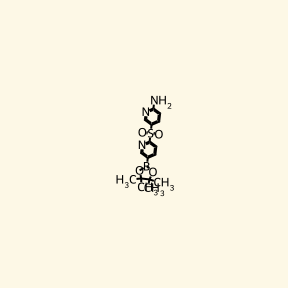 CC1(C)OB(c2ccc(S(=O)(=O)c3ccc(N)nc3)nc2)OC1(C)C